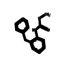 [CH2]OC(=O)Nc1ccccc1Cc1ccccc1